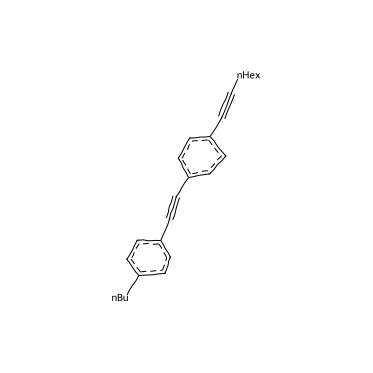 CCCCCCC#Cc1ccc(C#Cc2ccc(CCCC)cc2)cc1